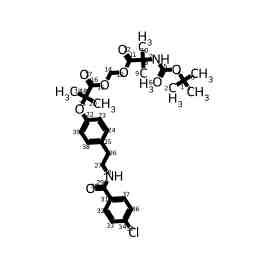 CC(C)(C)OC(=O)NC(C)(C)C(=O)OCOC(=O)C(C)(C)Oc1ccc(CCNC(=O)c2ccc(Cl)cc2)cc1